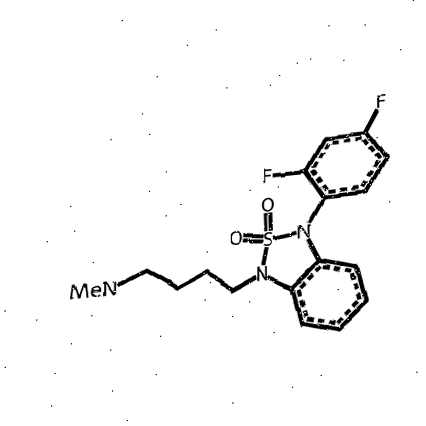 CNCCCCN1c2ccccc2N(c2ccc(F)cc2F)S1(=O)=O